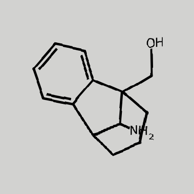 NC1C2CCCC1(CO)c1ccccc12